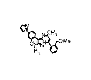 COCc1ccccc1-c1cc(C)nc2c(-c3ccc(-n4cccn4)cc3O)c(C)nn12